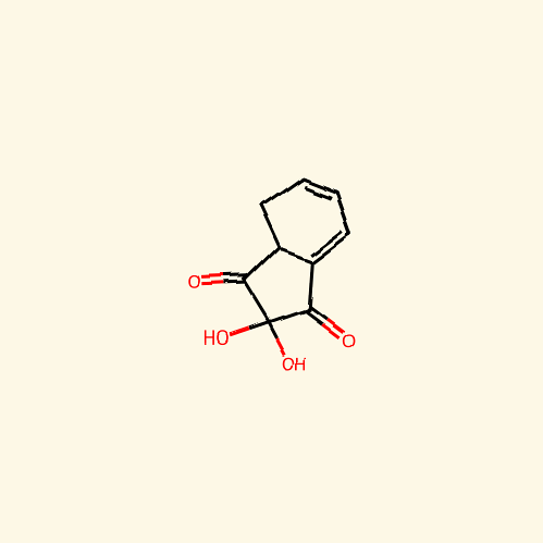 O=C1C2=CC=CCC2C(=O)C1(O)O